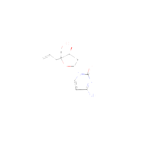 C=CCC1(CO)O[C@@H](n2ccc(N)nc2=O)C[C@@H]1O